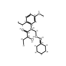 CCc1ccc(OC)cc1N(CON=C1CCCCC1)C(=O)C(Cl)CC